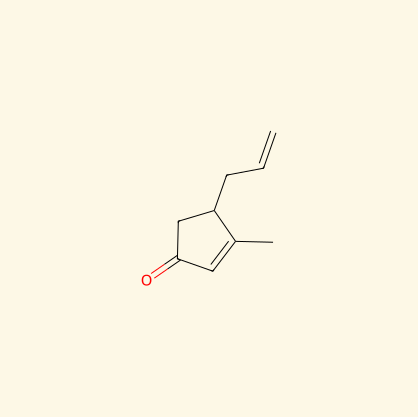 C=CCC1CC(=O)C=C1C